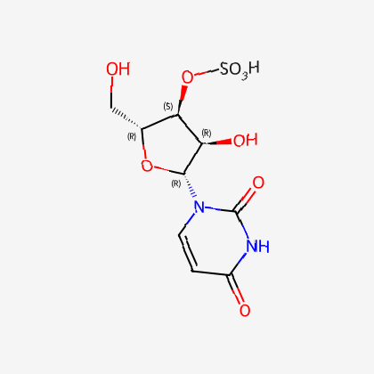 O=c1ccn([C@@H]2O[C@H](CO)[C@@H](OS(=O)(=O)O)[C@H]2O)c(=O)[nH]1